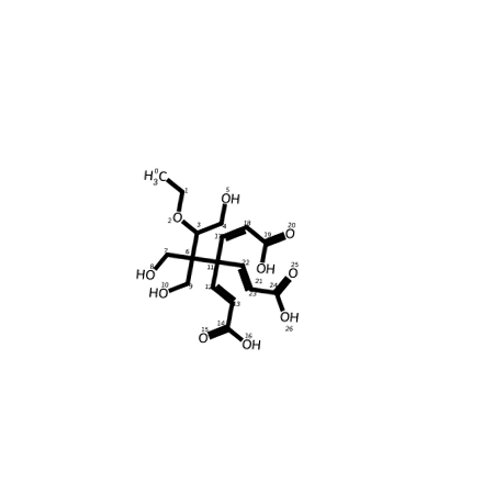 CCOC(CO)C(CO)(CO)C(C=CC(=O)O)(C=CC(=O)O)C=CC(=O)O